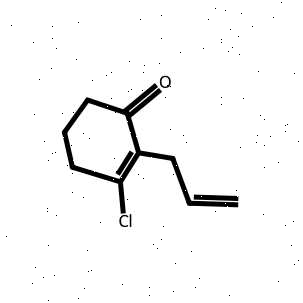 C=CCC1=C(Cl)CCCC1=O